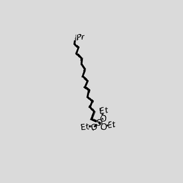 CCO[Si](CCCCCCCCCCCCCCCC(C)C)(OCC)OCC